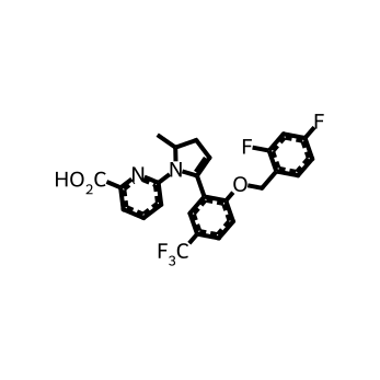 CC1CC=C(c2cc(C(F)(F)F)ccc2OCc2ccc(F)cc2F)N1c1cccc(C(=O)O)n1